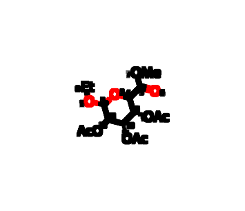 CCO[C@H]1OC(C(=O)OC)[C@H](OC(C)=O)[C@H](OC(C)=O)C1OC(C)=O